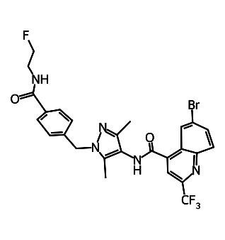 Cc1nn(Cc2ccc(C(=O)NCCF)cc2)c(C)c1NC(=O)c1cc(C(F)(F)F)nc2ccc(Br)cc12